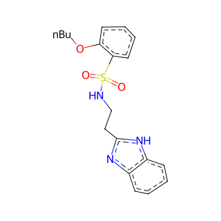 CCCCOc1ccccc1S(=O)(=O)NCCc1nc2ccccc2[nH]1